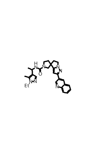 CCn1ncc(C(C)NC(=O)N2CCC3(CCn4nc(-c5cnc6ccccc6c5)cc43)C2)c1C